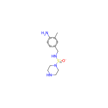 Cc1cc(CN[S@@+]([O-])N2CCNCC2)ccc1N